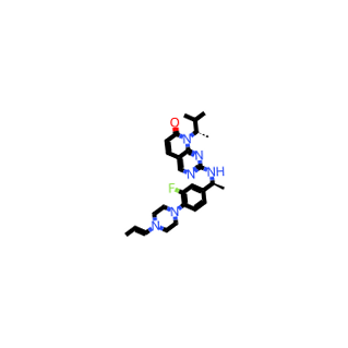 CC=CN1CCN(c2ccc([C@H](C)Nc3ncc4ccc(=O)n([C@@H](C)C(C)C)c4n3)cc2F)CC1